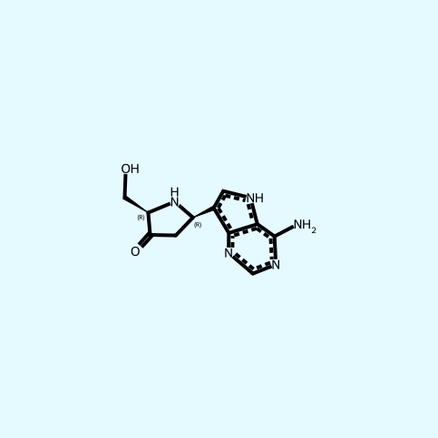 Nc1ncnc2c([C@H]3CC(=O)[C@@H](CO)N3)c[nH]c12